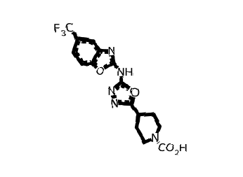 O=C(O)N1CCC(c2nnc(Nc3nc4cc(C(F)(F)F)ccc4o3)o2)CC1